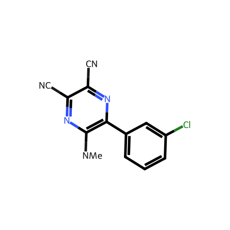 CNc1nc(C#N)c(C#N)nc1-c1cccc(Cl)c1